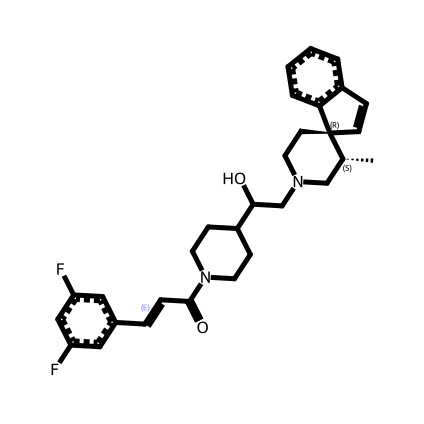 C[C@@H]1CN(CC(O)C2CCN(C(=O)/C=C/c3cc(F)cc(F)c3)CC2)CC[C@@]12C=Cc1ccccc12